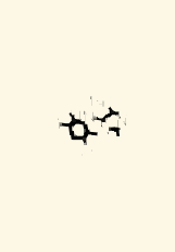 COc1cc(Cl)c(C)c(Nc2nc(C)ncc2Br)c1C